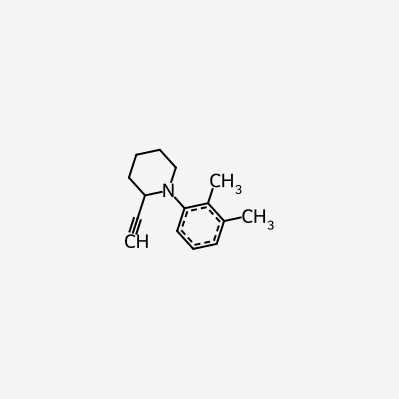 C#CC1CCCCN1c1cccc(C)c1C